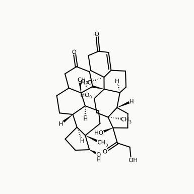 C[C@]12C(CC[C@@H]3[C@@H]1CC[C@]1(C)[C@@H](O)CC[C@@H]31)CC(=O)CC2[C@]12[C@@H](O)C[C@@]3(C)[C@@H](CC[C@]3(O)C(=O)CO)[C@@H]1CCC1=CC(=O)CC[C@@]12C